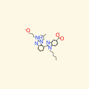 CCCCCn1c(-c2cccc3nc(NCCCOC)n(CC(C)C)c23)nc2cc(C(=O)OC)ccc21